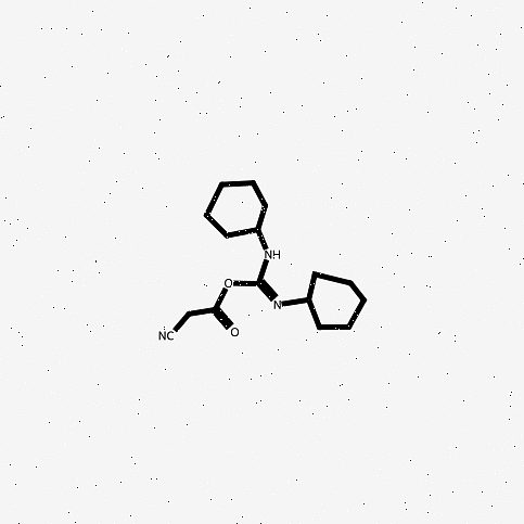 N#CCC(=O)O/C(=N/C1CCCCC1)NC1CCCCC1